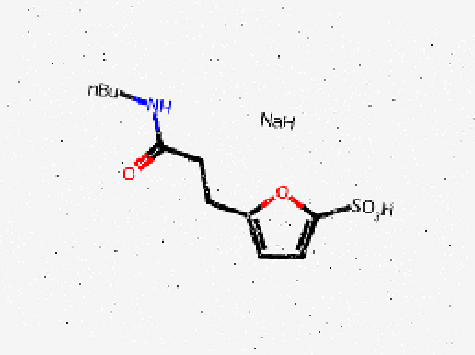 CCCCNC(=O)CCc1ccc(S(=O)(=O)O)o1.[NaH]